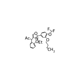 C=CCCOc1cc(-c2nc(C(C(C)=O)c3ccccc3OCC)co2)ccc1OC(F)F